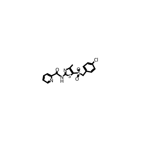 Cc1nc(NC(=O)c2ccccn2)sc1S(=O)(=O)Cc1ccc(Cl)cc1